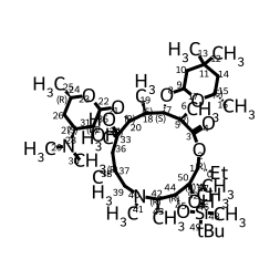 CC[C@H]1OC(=O)[C@H](C)[C@@H](OC2CC(C)(C)C[C@H](C)O2)[C@H](C)[C@@H](OC2O[C@H](C)C[C@H](N(C)C)[C@H]2O)[C@](C)(O)C[C@@H](C)CN(C)[C@H](C)[C@@H](O[Si](C)(C)C(C)(C)C)[C@]1(C)O